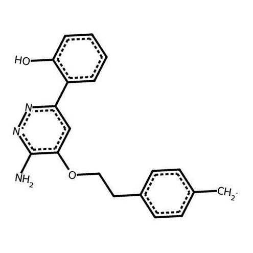 [CH2]c1ccc(CCOc2cc(-c3ccccc3O)nnc2N)cc1